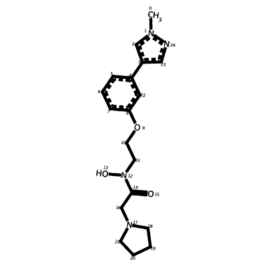 Cn1cc(-c2c[c]cc(OCCN(O)C(=O)CN3CCCC3)c2)cn1